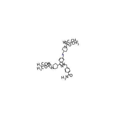 CC(C)(C)OC(=O)CN1CCC(c2nn(Cc3ccc(C(N)=O)cc3)c3cc(/C=C/C4CCN(C(=O)OC(C)(C)C)CC4)ccc23)CC1